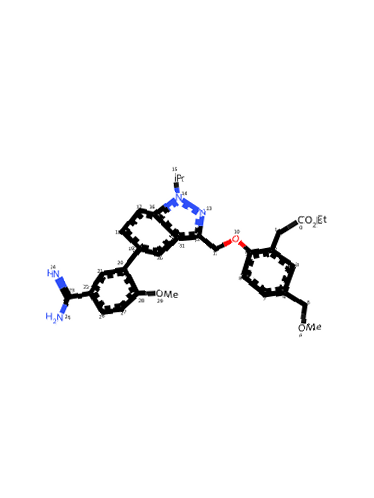 CCOC(=O)Cc1cc(COC)ccc1OCc1nn(C(C)C)c2ccc(-c3cc(C(=N)N)ccc3OC)cc12